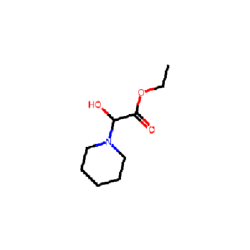 CCOC(=O)C(O)N1CCCCC1